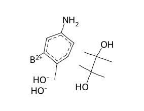 CC(C)(O)C(C)(C)O.[B+2]c1cc(N)ccc1C.[OH-].[OH-]